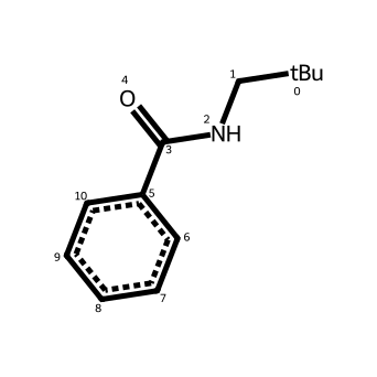 CC(C)(C)CNC(=O)c1ccccc1